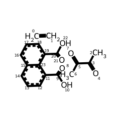 C=C.CC(=O)C(C)=O.O=C(O)c1cccc2cccc(C(=O)O)c12